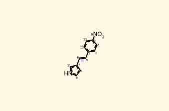 O=[N+]([O-])c1ccc(/C=C/c2cc[nH]c2)cc1